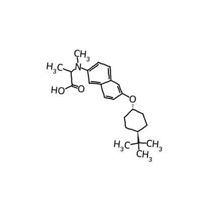 CC(C(=O)O)N(C)c1ccc2cc(O[C@H]3CC[C@H](C(C)(C)C)CC3)ccc2c1